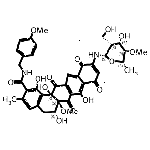 COc1ccc(CNC(=O)c2c(C)cc3c(c2O)[C@]2(O)C(=O)c4cc5c(c(O)c4C(=O)[C@]2(OC)[C@H](O)C3)C(=O)C=C(N[C@H]2O[C@@H](C)[C@H](OC)[C@@H](O)[C@H]2CO)C5=O)cc1